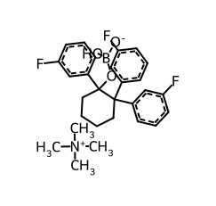 C[N+](C)(C)C.[O-]B(O)OC1(c2cccc(F)c2)CCCCC1(c1cccc(F)c1)c1cccc(F)c1